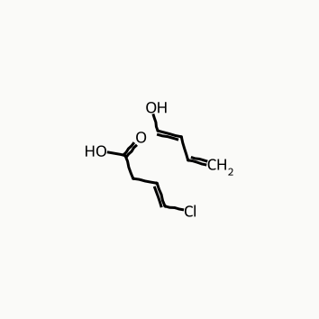 C=CC=CO.O=C(O)CC=CCl